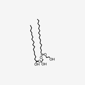 CCCCCCCCCCCCCCCC(=O)O.CCCCCCCCCCCCCCCN(OCCO)OCCO